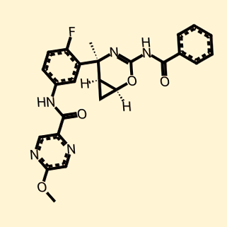 COc1cnc(C(=O)Nc2ccc(F)c([C@@]3(C)N=C(NC(=O)c4ccccc4)O[C@H]4C[C@H]43)c2)cn1